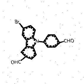 O=Cc1ccc(-n2c3ccc(Br)cc3c3cc(C=O)ccc32)cc1